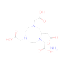 NOC(=O)CC1CN(CC(=O)O)CCN(CC(=O)O)CCN1CC(=O)O